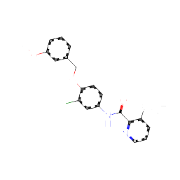 O=C(O)c1cccnc1C(=O)Nc1ccc(OCc2cccc(OC(F)(F)F)c2)c(Cl)c1